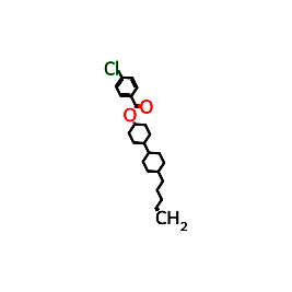 C=CCCCC1CCC(C2CCC(OC(=O)c3ccc(Cl)cc3)CC2)CC1